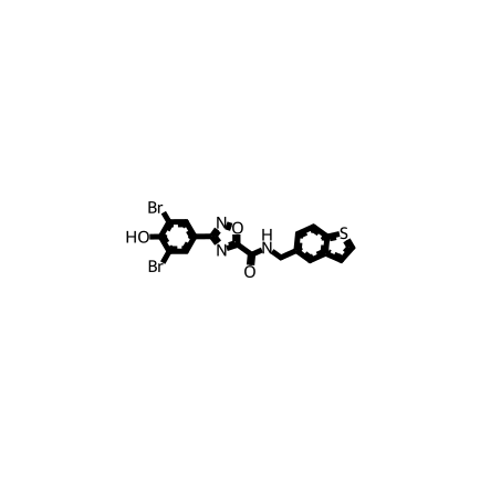 O=C(NCc1ccc2sccc2c1)c1nc(-c2cc(Br)c(O)c(Br)c2)no1